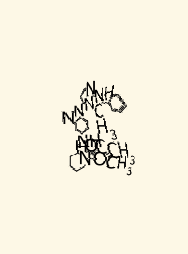 CC(Nc1nccc(-n2cnc3cc(NCC4CCCCN4C(=O)OC(C)(C)C)ccc32)n1)c1ccccc1